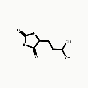 O=C1NC(=O)C(CCC(O)O)N1